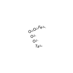 [Fe+3].[O-2].[O-2].[O-2].[O-2].[Ta+5]